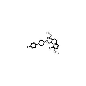 CCSNC1CCc2ccc(C)c(=O)n2C1COC1CCC(c2ccc(F)cc2)CC1